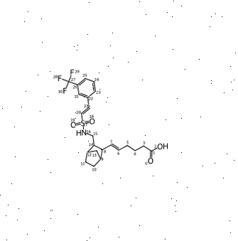 O=C(O)CCCC=CC1C2CCC(C2)C1CNS(=O)(=O)C=Cc1cccc(C(F)(F)F)c1